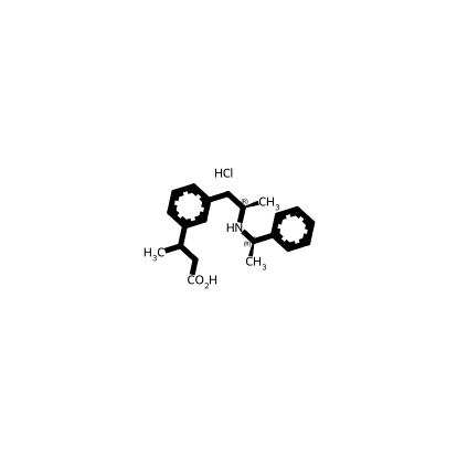 CC(CC(=O)O)c1cccc(C[C@@H](C)N[C@H](C)c2ccccc2)c1.Cl